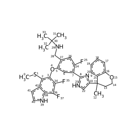 CSc1c(Oc2cc(-c3nc(C4(C)CCOc5ccccc54)c[nH]3)c(F)cc2CNC(C)(C)C)c(F)c(F)c2[nH]ccc12